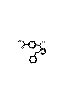 COC(=O)c1ccc(C(O)c2nncn2Cc2ccccc2)cc1